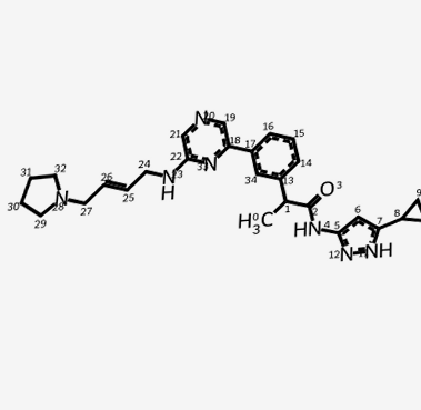 CC(C(=O)Nc1cc(C2CC2)[nH]n1)c1cccc(-c2cncc(NC/C=C/CN3CCCC3)n2)c1